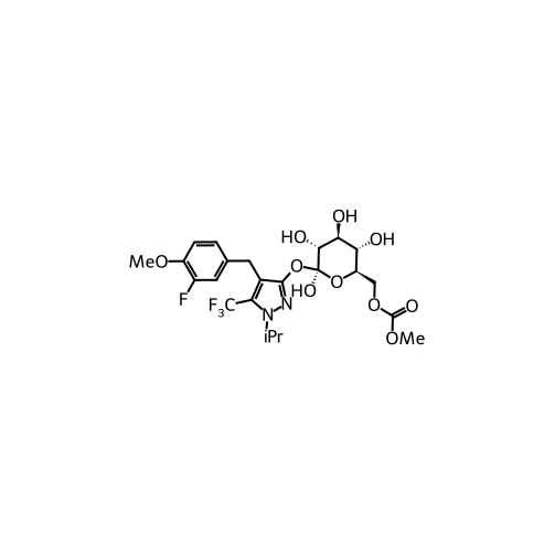 COC(=O)OC[C@H]1O[C@@](O)(Oc2nn(C(C)C)c(C(F)(F)F)c2Cc2ccc(OC)c(F)c2)[C@H](O)[C@@H](O)[C@@H]1O